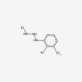 CCNNNc1cccc(C(F)(F)F)c1C(C)=O